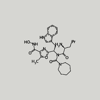 Cc1oc([C@@H](Cc2c[nH]c3ccccc23)N(C(=O)[C@@H](N)CC(C)C)C(=O)N2CCCCCC2)nc1C(=O)NO